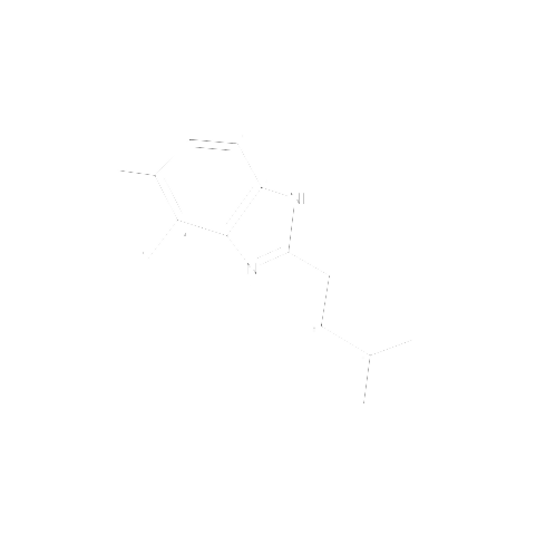 Cc1ccc2[nH]c(CCC(C)C)nc2c1C